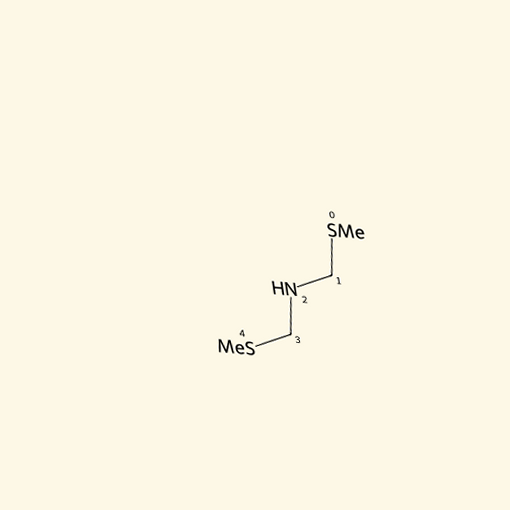 CSCNCSC